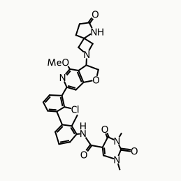 COc1nc(-c2cccc(-c3cccc(NC(=O)c4cn(C)c(=O)n(C)c4=O)c3C)c2Cl)cc2c1C(N1CC3(CCC(=O)N3)C1)CO2